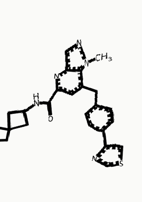 Cn1ncc2nc(C(=O)NC3CC4(COC4)C3)cc(Cc3ccc(-c4cscn4)cc3)c21